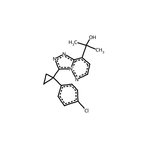 CC(C)(O)c1ccnn2c(C3(c4ccc(Cl)cc4)CC3)nnc12